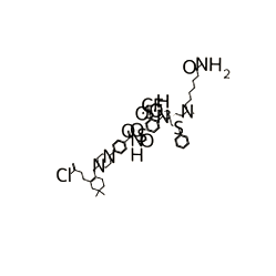 C=C(Cl)CCC1=C(CN2CCN(c3ccc(C(=O)NS(=O)(=O)c4ccc(N[C@H](CCN(C)CCCCCCC(N)=O)CSc5ccccc5)c(S(=O)(=O)C(F)(F)F)c4)cc3)CC2)CCC(C)(C)C1